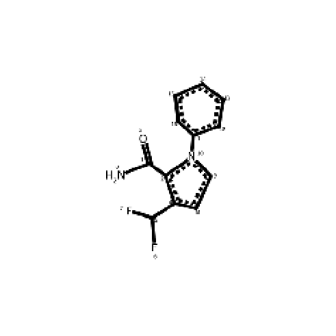 NC(=O)c1c(C(F)F)ccn1-c1ccccc1